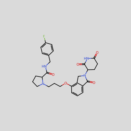 O=C1CCC(N2Cc3c(OCCCN4CCCC4C(=O)NCc4ccc(F)cc4)cccc3C2=O)C(=O)N1